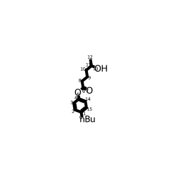 CCCCc1ccc(OC(=O)CCCC(C)O)cc1